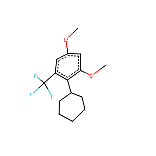 COc1cc(OC)c(C2CCCCC2)c(C(F)(F)F)c1